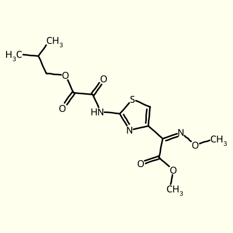 CON=C(C(=O)OC)c1csc(NC(=O)C(=O)OCC(C)C)n1